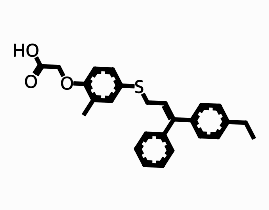 CCc1ccc(C(=CCSc2ccc(OCC(=O)O)c(C)c2)c2ccccc2)cc1